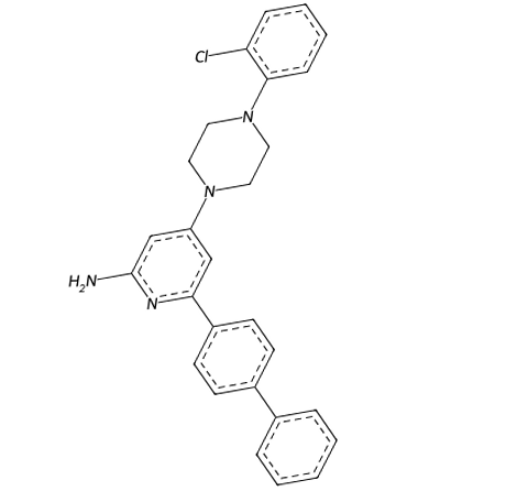 Nc1cc(N2CCN(c3ccccc3Cl)CC2)cc(-c2ccc(-c3ccccc3)cc2)n1